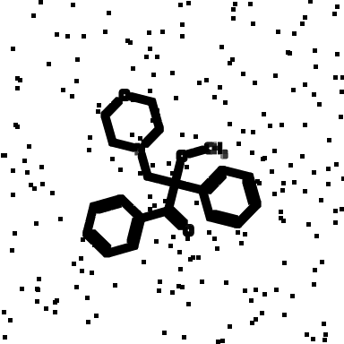 COC(CN1CCOCC1)(C(=O)c1ccccc1)c1ccccc1